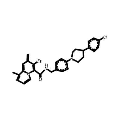 C=C1C=C2C(C)=CC=CN2C(C(=O)NCc2ccc(N3CCC(c4ccc(Cl)cc4)CC3)cc2)=C1CC